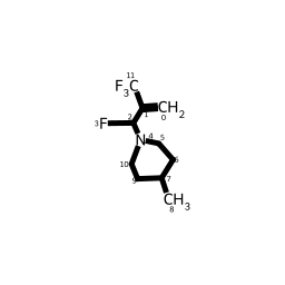 C=C(C(F)N1CCC(C)CC1)C(F)(F)F